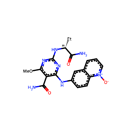 CC[C@@H](Nc1nc(Nc2ccc3c(ccc[n+]3[O-])c2)c(C(N)=O)c(OC)n1)C(N)=O